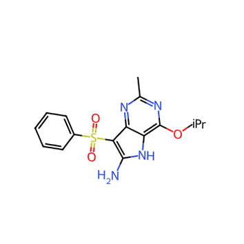 Cc1nc(OC(C)C)c2[nH]c(N)c(S(=O)(=O)c3ccccc3)c2n1